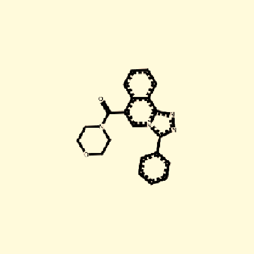 O=C(c1cn2c(-c3ccccc3)nnc2c2ccccc12)N1CCOCC1